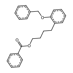 O=C(OCCCCc1ccccc1OCc1ccccc1)c1ccccc1